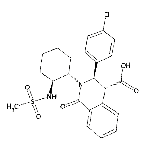 CS(=O)(=O)N[C@H]1CCCC[C@@H]1N1C(=O)c2ccccc2[C@@H](C(=O)O)[C@@H]1c1ccc(Cl)cc1